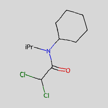 CC(C)N(C(=O)C(Cl)Cl)C1CCCCC1